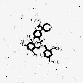 COC(=O)C1(c2ccc(OC)c(S(=O)(=O)N(Cc3ccc(OC)cc3OC)Cc3ccc(OC)cc3OC)c2)CCOCC1